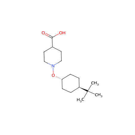 CC(C)(C)[C@H]1CC[C@H](ON2CCC(C(=O)O)CC2)CC1